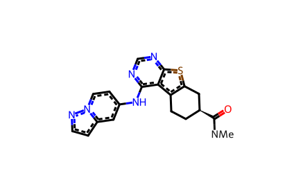 CNC(=O)[C@H]1CCc2c(sc3ncnc(Nc4ccn5nccc5c4)c23)C1